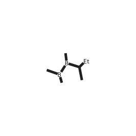 CCC(C)B(C)B(C)C